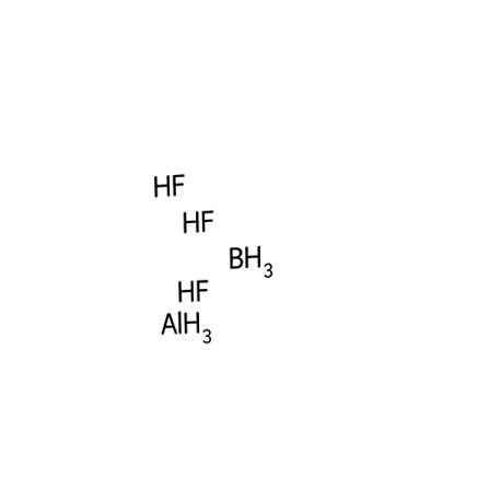 B.F.F.F.[AlH3]